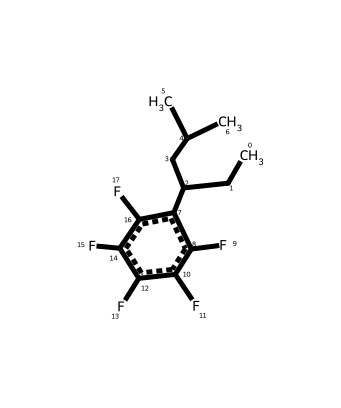 CCC(CC(C)C)c1c(F)c(F)c(F)c(F)c1F